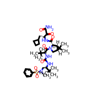 CN(C[C@@H](NC(=O)N[C@H](C(=O)N1C[C@H]2[C@@H]([C@H]1C(=O)N[C@H](CC1CCC1)C(=O)C(N)=O)C2(C)C)C(C)(C)C)C(C)(C)C)S(=O)(=O)c1ccccc1